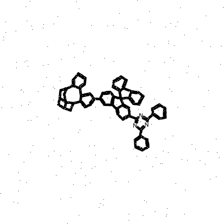 c1ccc(-c2nc(-c3ccccc3)nc(-c3ccc4c(c3)C3(c5ccccc5-c5ccccc53)c3ccc(-c5ccc6c(c5)-c5ccccc5C5CC7CC8CC6C78C5)cc3-4)n2)cc1